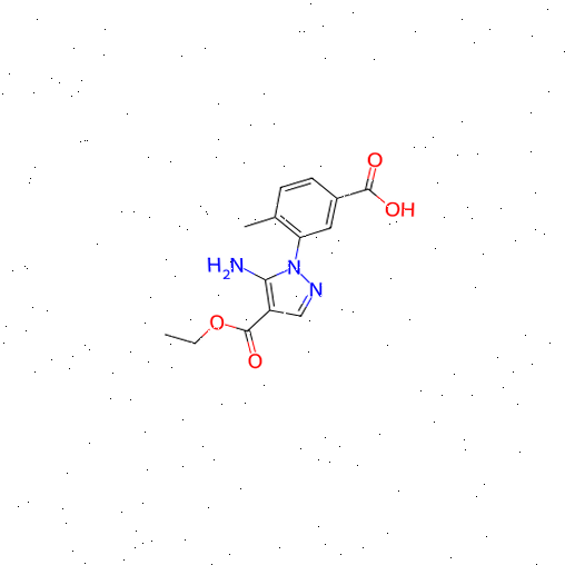 CCOC(=O)c1cnn(-c2cc(C(=O)O)ccc2C)c1N